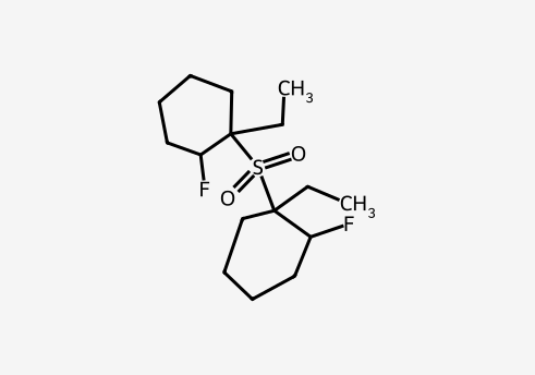 CCC1(S(=O)(=O)C2(CC)CCCCC2F)CCCCC1F